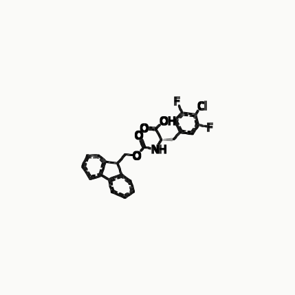 O=C(N[C@@H](Cc1cc(F)c(Cl)c(F)c1)C(=O)O)OCC1c2ccccc2-c2ccccc21